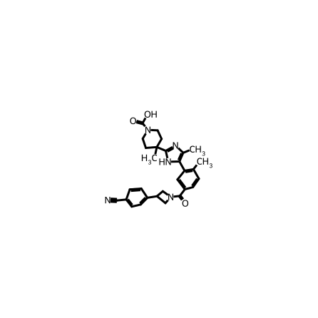 Cc1ccc(C(=O)N2CC(c3ccc(C#N)cc3)C2)cc1-c1[nH]c(C2(C)CCN(C(=O)O)CC2)nc1C